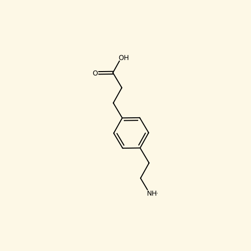 [NH]CCc1ccc(CCC(=O)O)cc1